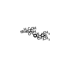 Cc1cc(-c2nc3cc(CN[C@H](C(=O)OCC(C)(C)C)[C@@H](C)O)ccc3n2C)cn(C)c1=O